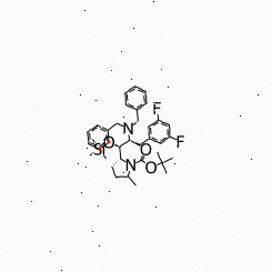 CC1CC[C@H]([C@@H](O[Si](C)(C)C)[C@H](Cc2cc(F)cc(F)c2)N(Cc2ccccc2)Cc2ccccc2)N1C(=O)OC(C)(C)C